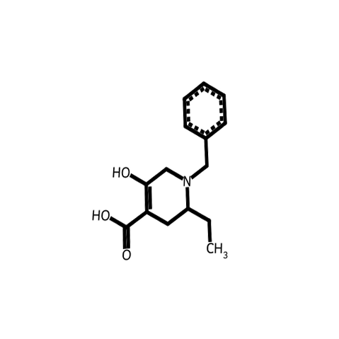 CCC1CC(C(=O)O)=C(O)CN1Cc1ccccc1